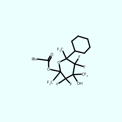 CCC(C)C(=O)OC1(C(F)(F)F)OC(C2CCCCC2)(C(F)(F)F)C(F)(F)C(O)(C(F)(F)F)C1(F)F